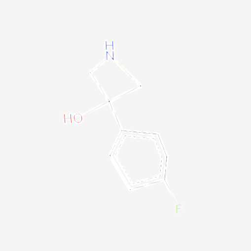 OC1(c2ccc(F)cc2)CNC1